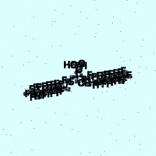 O=[PH](O)OCC(CO)(CSC(F)CC(F)(F)C(F)(F)C(F)(F)C(F)(F)C(F)(F)C(F)(F)C(F)(F)C(F)(F)F)CSC(F)CC(F)(F)C(F)(F)C(F)(F)C(F)(F)C(F)(F)C(F)(F)C(F)(F)C(F)(F)F